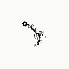 CC(C)CCC(=O)OCC(C)(C)C(O)C(=O)NCCCC(=O)OCc1ccccc1